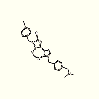 Cc1ccc(Cn2c3ncnc4c(ncn4Cc4ccc(CN(C)C)cc4)c-3nc2=O)cc1